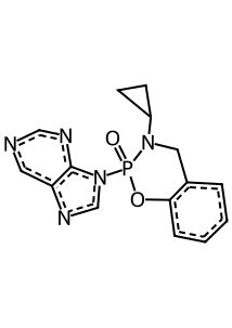 O=P1(n2cnc3cncnc32)Oc2ccccc2CN1C1CC1